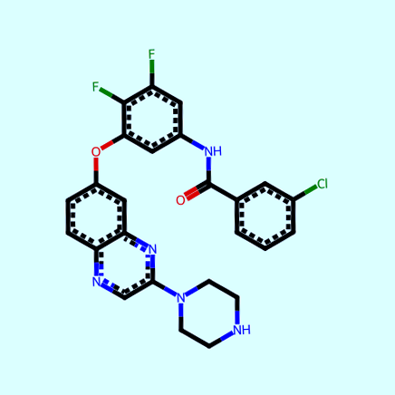 O=C(Nc1cc(F)c(F)c(Oc2ccc3ncc(N4CCNCC4)nc3c2)c1)c1cccc(Cl)c1